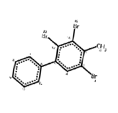 Cc1c(Br)cc(-c2[c]cccc2)c(Br)c1Br